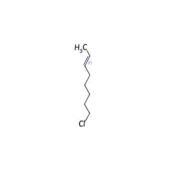 C/C=C/CCCCCCl